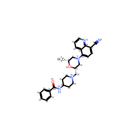 C[C@@H]1CN(c2ccc(C#N)c3ncccc23)C[C@H](CN2CCC(NC(=O)c3ccccc3)CC2)O1